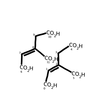 O=C(O)/C=C(/CC(=O)O)C(=O)O.O=C(O)/C=C(/CC(=O)O)C(=O)O